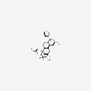 COC(=O)C[C@H]1C(C)(C)[C@@H](O)[C@@H]2CC3=C4C=C(OC)O[C@@H](C5C=COC5)[C@]4(C)CCC3[C@@]1(C)C2=O